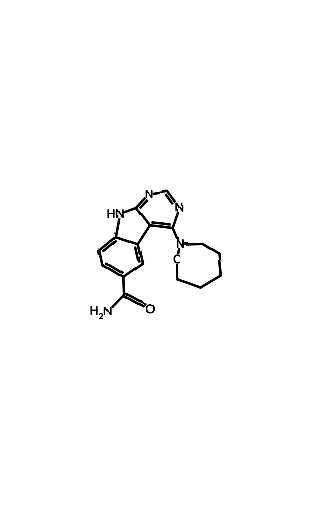 NC(=O)c1ccc2[nH]c3ncnc(N4CCCCCC4)c3c2c1